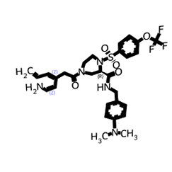 C=C/C=C(\C=C/N)CC(=O)N1CCN(S(=O)(=O)c2ccc(OC(F)(F)F)cc2)[C@@H](C(=O)NCc2ccc(N(C)C)cc2)C1